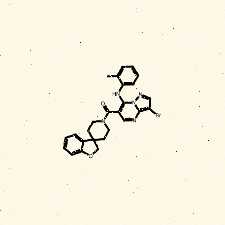 Cc1ccccc1Nc1c(C(=O)N2CCC3(CC2)COc2ccccc23)cnc2c(Br)cnn12